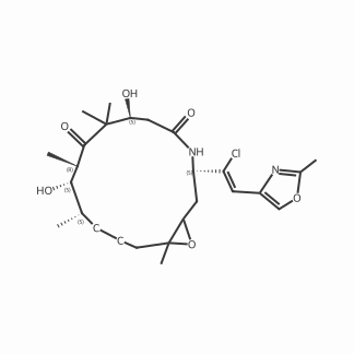 Cc1nc(C=C(Cl)[C@@H]2CC3OC3(C)CCC[C@H](C)[C@H](O)[C@@H](C)C(=O)C(C)(C)[C@@H](O)CC(=O)N2)co1